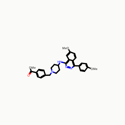 COC(=O)c1ccc(CN2CCC(Nc3nnc(-c4ccc(OC)cc4)c4ccc(OC)cc34)CC2)cc1